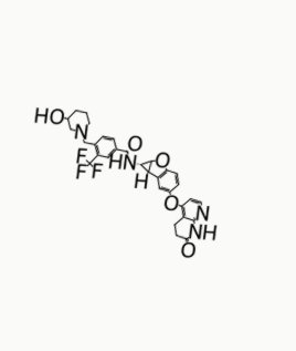 O=C1CCc2c(Oc3ccc4c(c3)[C@@H]3C(O4)[C@H]3NC(=O)c3ccc(CN4CCC[C@H](O)C4)c(C(F)(F)F)c3)ccnc2N1